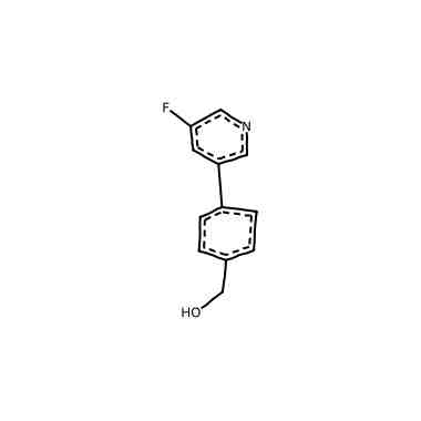 OCc1ccc(-c2cncc(F)c2)cc1